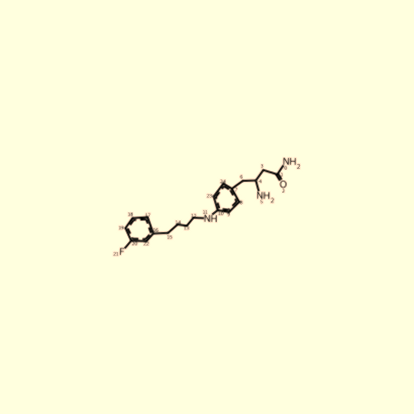 NC(=O)CC(N)Cc1ccc(NCCCCc2cccc(F)c2)cc1